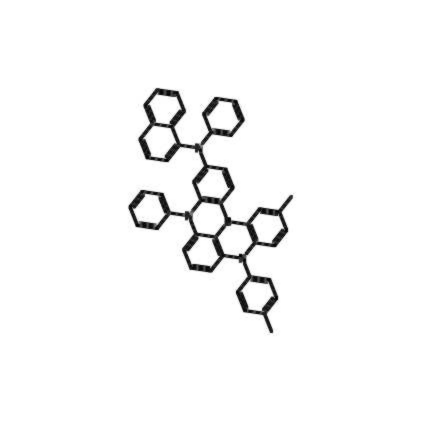 Cc1ccc(N2c3ccc(C)cc3B3c4ccc(N(c5ccccc5)c5cccc6ccccc56)cc4N(c4ccccc4)c4cccc2c43)cc1